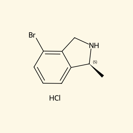 C[C@@H]1NCc2c(Br)cccc21.Cl